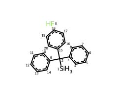 F.[SiH3]C(c1ccccc1)(c1ccccc1)c1ccccc1